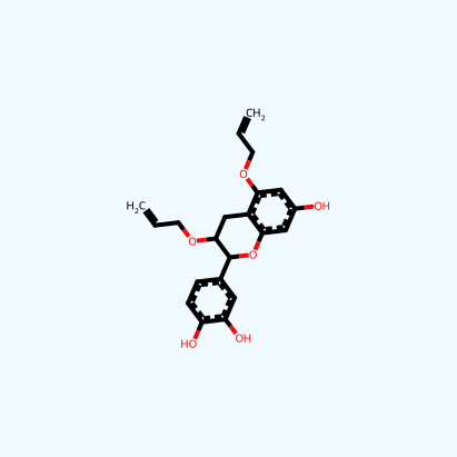 C=CCOc1cc(O)cc2c1CC(OCC=C)C(c1ccc(O)c(O)c1)O2